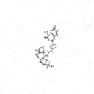 CCN1C(=O)CN([C@@H]2CCN(CC/C=C3\C4=CCCNC4COC4=C3CC(C(C)(C)O)C=C4)C2)Cc2ccc(Cl)cc21